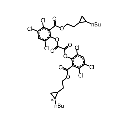 CCCCC1CC1CCOC(=O)c1c(Cl)c(Cl)cc(Cl)c1OC(=O)C(=O)Oc1c(Cl)cc(Cl)c(Cl)c1C(=O)OCCC1C[C@@H]1CCCC